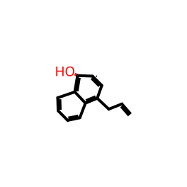 C=CCc1c[c]c(O)c2ccccc12